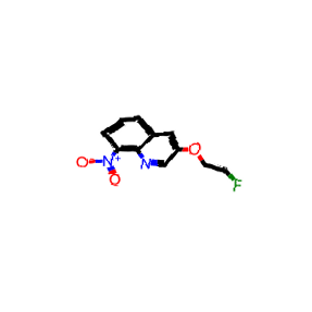 O=[N+]([O-])c1cccc2cc(OCCF)cnc12